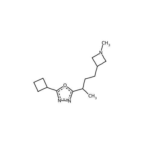 CC(CCC1CN(C)C1)c1nnc(C2CCC2)o1